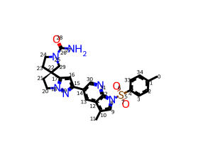 Cc1ccc(S(=O)(=O)n2cc(C)c3cc(-c4cc5n(n4)CC[C@]54CCN(C(N)=O)C4)cnc32)cc1